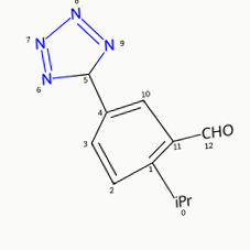 CC(C)c1ccc(C2N=NN=N2)cc1C=O